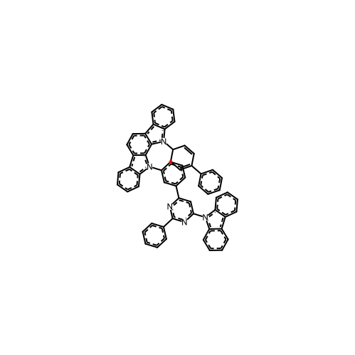 C1=CC(n2c3ccccc3c3ccc4c5ccccc5n(-c5cccc(-c6cc(-n7c8ccccc8c8ccccc87)nc(-c7ccccc7)n6)c5)c4c32)CC=C1c1ccccc1